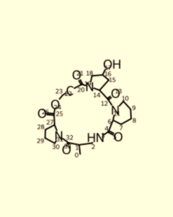 CC1CNC(=O)C2CCCCN2C(=O)C2CC(O)CN2C(=O)CCOC(=O)C2CCCN2C1=O